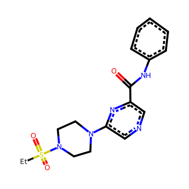 CCS(=O)(=O)N1CCN(c2cncc(C(=O)Nc3ccccc3)n2)CC1